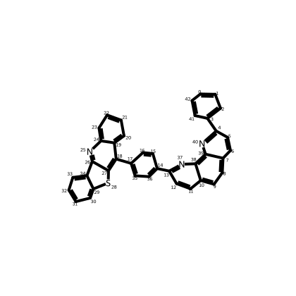 c1ccc(-c2ccc3ccc4ccc(-c5ccc(-c6c7ccccc7nc7c6sc6ccccc67)cc5)nc4c3n2)cc1